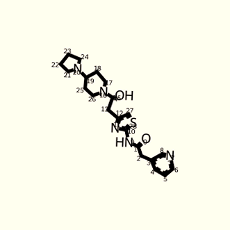 O=C(Cc1cccnc1)Nc1nc(CC(O)N2CCC(N3CCCC3)CC2)cs1